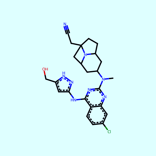 CN(c1nc(Nc2cc(CO)[nH]n2)c2ccc(Cl)cc2n1)C1CC2CCC3(CC#N)CC(C1)N23